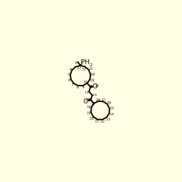 CC1(P)CCCCCCCC(C(=O)CCC(=O)C2CCCCCCCCCCC2)CCCC1